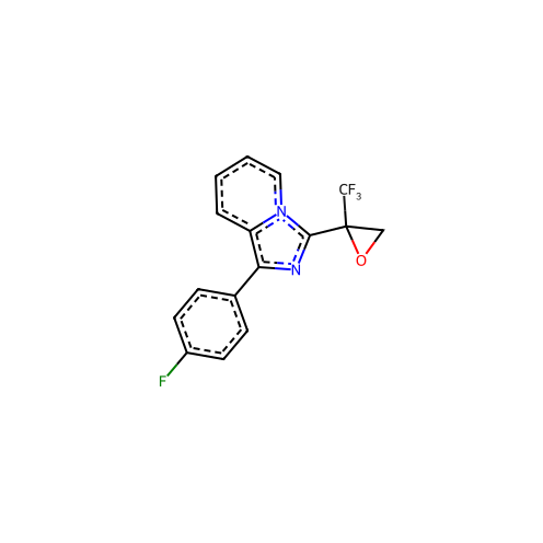 Fc1ccc(-c2nc(C3(C(F)(F)F)CO3)n3ccccc23)cc1